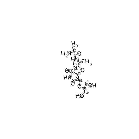 C[C@H](N)C(=O)N[C@@H](C)C(=O)Nc1cn([C@H]2C[C@H](O)[C@@H](CO)O2)c(=O)[nH]c1=O